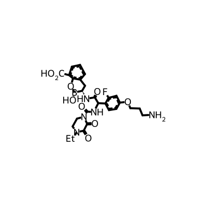 CCN1CCN(C(=O)NC(C(=O)N[C@H]2Cc3cccc(C(=O)O)c3OB2O)c2ccc(OCCCN)cc2F)C(=O)C1=O